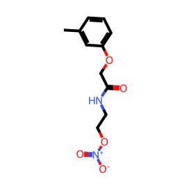 Cc1cccc(OCC(=O)NCCO[N+](=O)[O-])c1